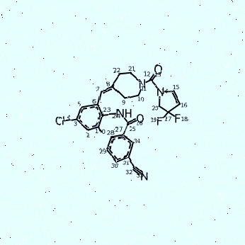 Cc1cc(Cl)cc(C=C2CCN(C(=O)N3C=CC(F)(F)C3)CC2)c1NC(=O)c1cccc(C#N)c1